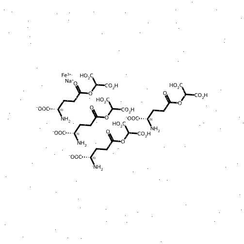 N[C@@H](CCC(=O)OC(C(=O)O)C(=O)O)C(=O)[O-].N[C@@H](CCC(=O)OC(C(=O)O)C(=O)O)C(=O)[O-].N[C@@H](CCC(=O)OC(C(=O)O)C(=O)O)C(=O)[O-].N[C@@H](CCC(=O)OC(C(=O)O)C(=O)O)C(=O)[O-].[Fe+3].[Na+]